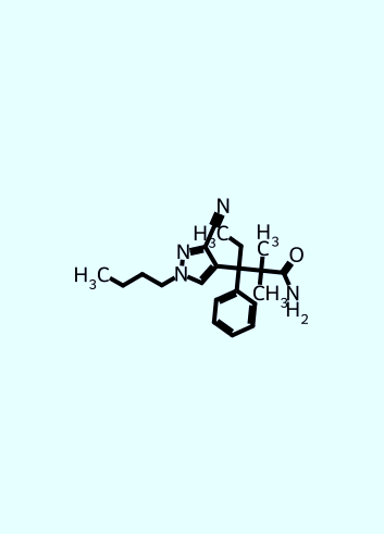 CCCCn1cc(C(CC)(c2ccccc2)C(C)(C)C(N)=O)c(C#N)n1